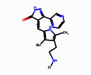 CCNCCc1c(C)[nH]c(/C=C2/C(=O)NN=C2c2cnccn2)c1C(C)(C)C